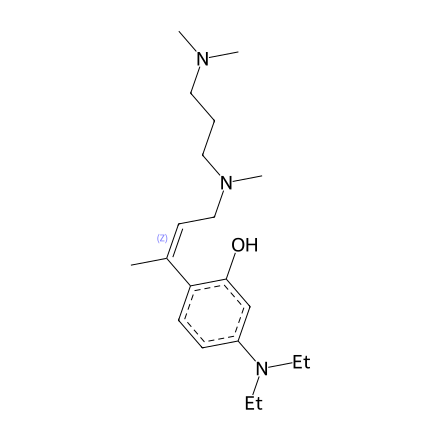 CCN(CC)c1ccc(/C(C)=C\CN(C)CCCN(C)C)c(O)c1